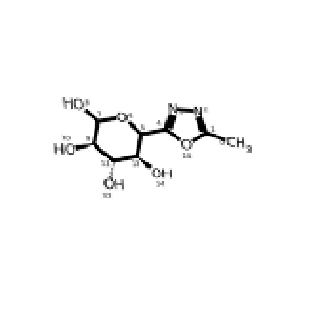 Cc1nnc(C2OC(O)[C@H](O)[C@@H](O)[C@@H]2O)o1